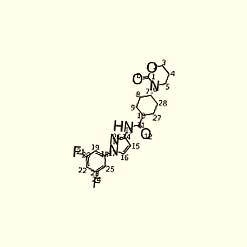 O=C1OCCCN1[C@H]1CC[C@H](C(=O)Nc2ccn(-c3cc(F)cc(F)c3)n2)CC1